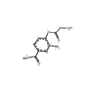 COC(=O)c1ccc(OC(=O)CO)c([N+](=O)[O-])c1